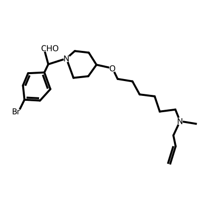 C=CCN(C)CCCCCCOC1CCN(C(C=O)c2ccc(Br)cc2)CC1